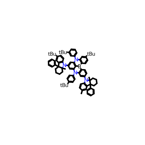 Cc1ccc2c(c1)C1(c3ccccc3)CCCCC1(C)N2c1ccc2c(c1)N(c1ccc(C(C)(C)C)cc1)c1cc(N3c4ccc(C(C)(C)C)cc4C4(c5ccccc5)CCCCC34C)cc3c1B2c1ccc(C(C)(C)C)cc1N3c1cccc(C(C)(C)C)c1